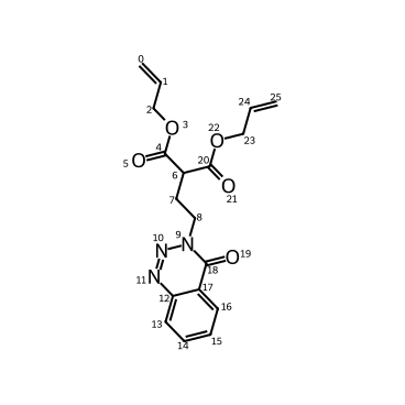 C=CCOC(=O)C(CCn1nnc2ccccc2c1=O)C(=O)OCC=C